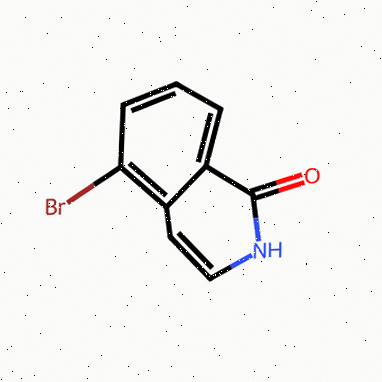 O=c1[nH]ccc2c(Br)cccc12